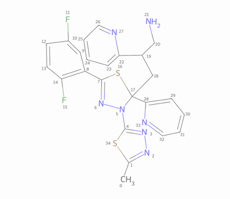 Cc1nnc(N2N=C(c3cc(F)ccc3F)SC2(CC(CN)c2ccccn2)c2ccccn2)s1